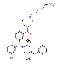 CCOC(=O)CCCCCN1CCCN(C(=O)c2cccc([C@H](c3cccc(O)c3)N3C[C@@H](C)N(Cc4ccccc4)C[C@@H]3C)c2)CC1